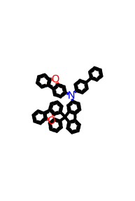 c1ccc(-c2ccc(N(c3ccc4c(c3)C(c3ccccc3)(c3cccc5c3oc3ccccc35)c3ccccc3-4)c3ccc4c(c3)oc3ccccc34)cc2)cc1